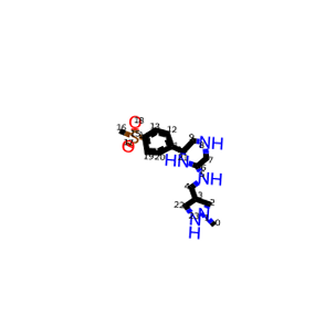 CN1CC(CNC2CNCC(c3ccc(S(C)(=O)=O)cc3)N2)CN1